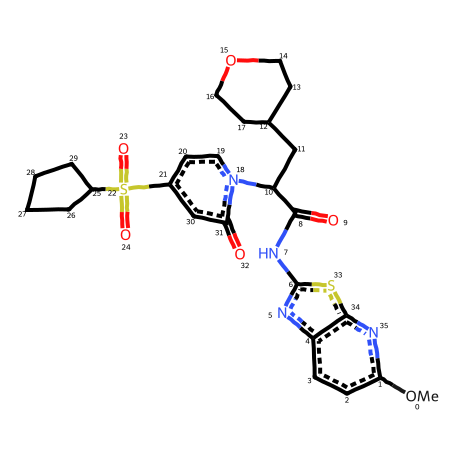 COc1ccc2nc(NC(=O)C(CC3CCOCC3)n3ccc(S(=O)(=O)C4CCCC4)cc3=O)sc2n1